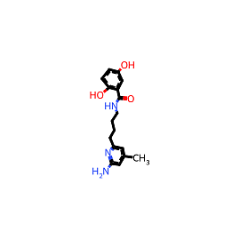 Cc1cc(N)nc(CCCCNC(=O)c2cc(O)ccc2O)c1